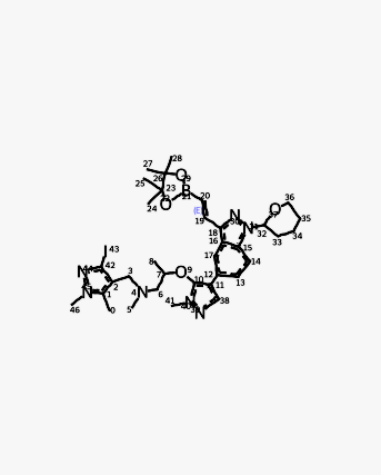 Cc1c(CN(C)CC(C)Oc2c(-c3ccc4c(c3)c(/C=C/B3OC(C)(C)C(C)(C)O3)nn4C3CCCCO3)cnn2C)c(I)nn1C